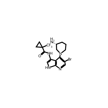 N[C@@H]1CCCN(c2c(Br)cnc3[nH]cc(NC(=O)C4(C(F)(F)F)CC4)c23)C1